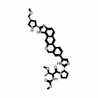 COC[C@@H]1CN[C@H](c2nc3ccc4cc5c(cc4c3[nH]2)OCc2cc(-c3cnc([C@@H]4CCCN4C(=O)C(NC(=O)OC)[C@@H](C)OC)[nH]3)ccc2-5)C1